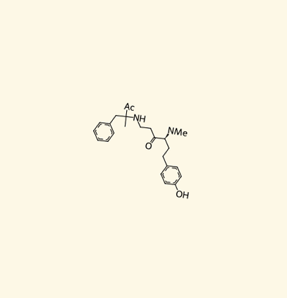 CN[C@@H](CCc1ccc(O)cc1)C(=O)CCNC(C)(Cc1ccccc1)C(C)=O